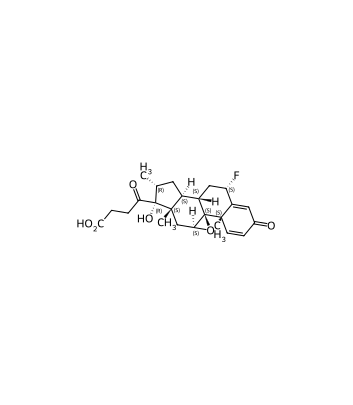 C[C@@H]1C[C@H]2[C@@H]3C[C@H](F)C4=CC(=O)C=C[C@]4(C)[C@@]34O[C@H]4C[C@]2(C)[C@@]1(O)C(=O)CCC(=O)O